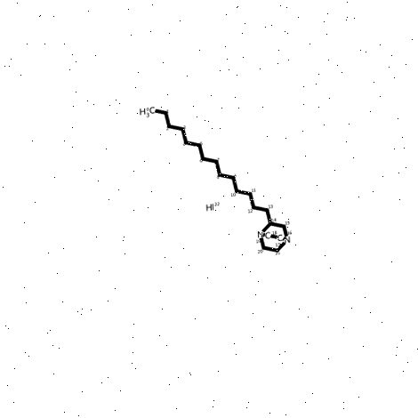 CCCCCCCCCCCCCCC1CN2CCN1CC2.I